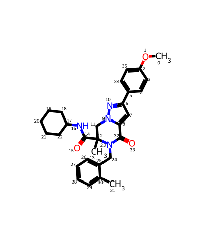 COc1ccc(-c2cc3n(n2)CC(C)(C(=O)NC2CCCCC2)N(Cc2ccccc2C)C3=O)cc1